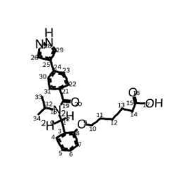 [2H]C([2H])(c1ccccc1OCCCCCC(=O)O)N(C(=O)c1ccc(-c2cn[nH]c2)cc1)C(C)C